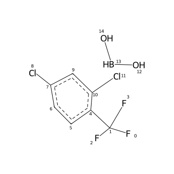 FC(F)(F)c1ccc(Cl)cc1Cl.OBO